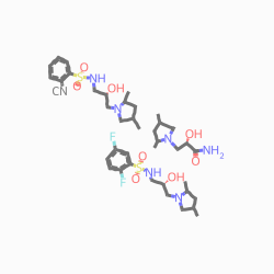 CC1CC(C)N(C[C@@H](O)C(N)=O)C1.CC1CC(C)N(C[C@@H](O)CNS(=O)(=O)c2cc(F)ccc2F)C1.CC1CC(C)N(C[C@@H](O)CNS(=O)(=O)c2ccccc2C#N)C1